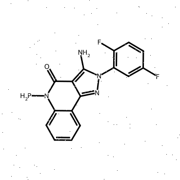 Nc1c2c(=O)n(P)c3ccccc3c2nn1-c1cc(F)ccc1F